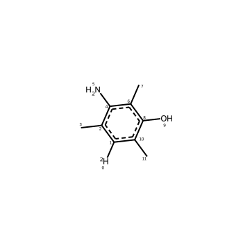 [2H]c1c(C)c(N)c(C)c(O)c1C